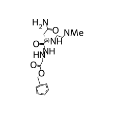 CNCCN[C@@H](CC(N)=O)C(=O)NNCC(=O)OCc1ccccc1